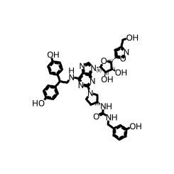 O=C(NCc1cccc(O)c1)N[C@@H]1CCN(c2nc(NCC(c3ccc(O)cc3)c3ccc(O)cc3)c3ncn([C@@H]4O[C@H](c5cc(CO)no5)[C@@H](O)[C@@H]4O)c3n2)C1